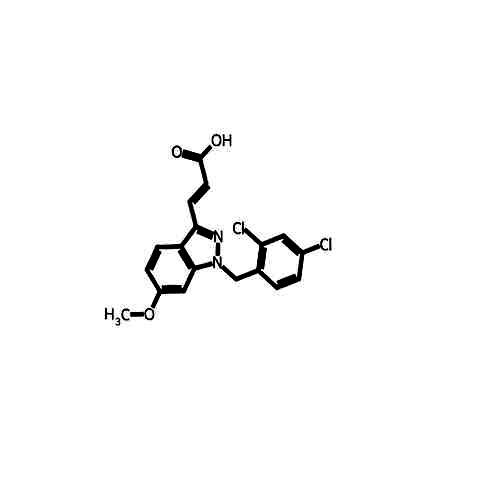 COc1ccc2c(C=CC(=O)O)nn(Cc3ccc(Cl)cc3Cl)c2c1